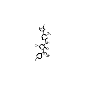 COc1cc(Nc2cc(Cl)cn([C@@H](CO)c3ccc(F)cc3)c2=O)ccc1-n1cnc(C)c1